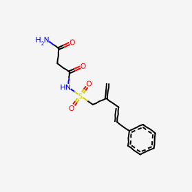 C=C(/C=C/c1ccccc1)CS(=O)(=O)NC(=O)CC(N)=O